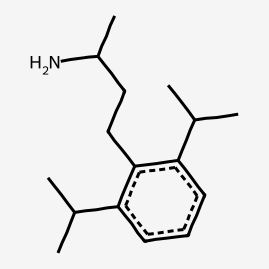 CC(N)CCc1c(C(C)C)cccc1C(C)C